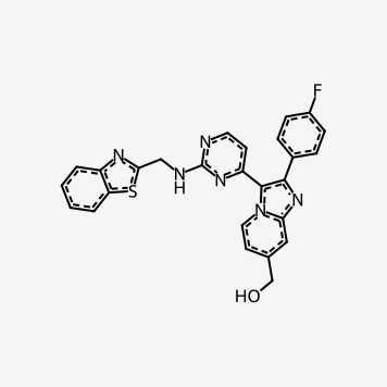 OCc1ccn2c(-c3ccnc(NCc4nc5ccccc5s4)n3)c(-c3ccc(F)cc3)nc2c1